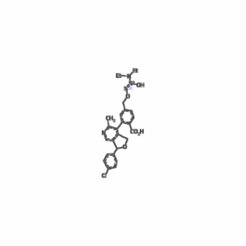 CCN(CC)/[N+](O)=N/OCc1ccc(C(=O)O)c(-c2c(C)ncc3c2COC3c2ccc(Cl)cc2)c1